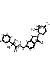 O=C1CCC(N2Cc3cc(CNC(=O)C(F)(F)c4ccccc4)ccc3C2=O)C(O)N1